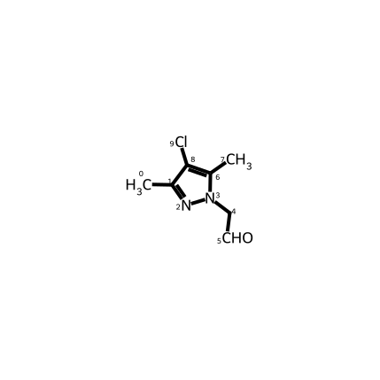 Cc1nn(CC=O)c(C)c1Cl